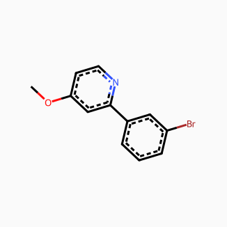 COc1ccnc(-c2cccc(Br)c2)c1